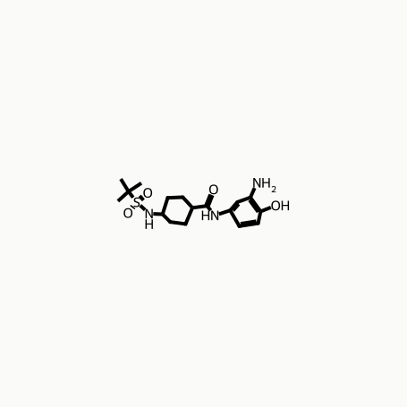 CC(C)(C)S(=O)(=O)NC1CCC(C(=O)Nc2ccc(O)c(N)c2)CC1